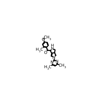 COc1ccc(C(=O)C2NCC3CN(c4nc(C)cc(C)n4)C=C32)c(C)c1